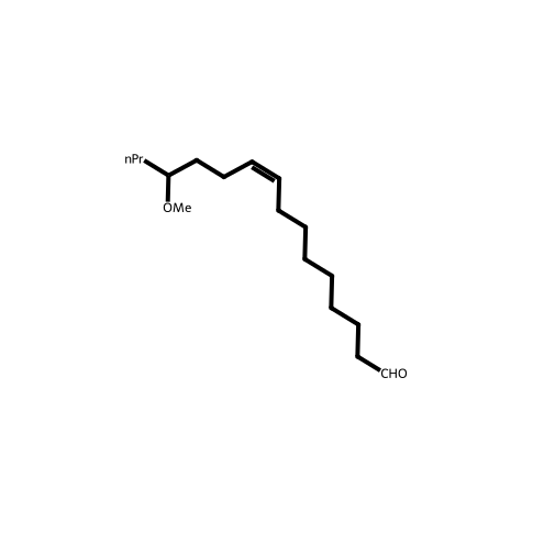 CCCC(CC/C=C\CCCCCCCC=O)OC